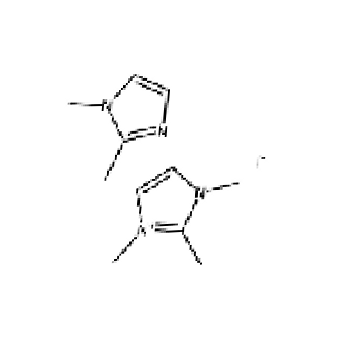 Cc1n(C)cc[n+]1C.Cc1nccn1C.[I-]